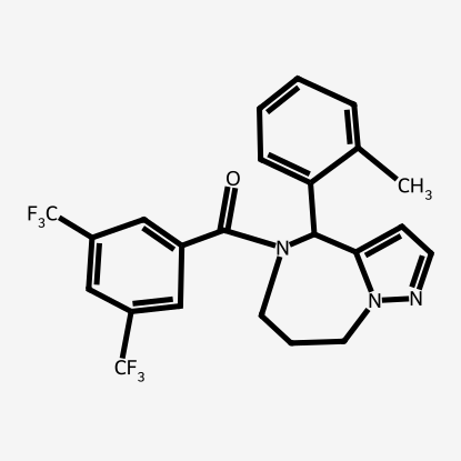 Cc1ccccc1C1c2ccnn2CCCN1C(=O)c1cc(C(F)(F)F)cc(C(F)(F)F)c1